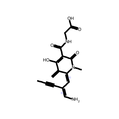 C=c1c(O)c(C(=O)NCC(=O)O)c(=O)n(C)/c1=C/C(C#CC)=C\N